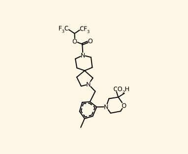 Cc1ccc(CN2CCC3(CCN(C(=O)OC(C(F)(F)F)C(F)(F)F)CC3)C2)c(N2CCOC(C)(C(=O)O)C2)c1